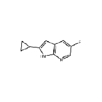 Fc1cnc2[nH]c(C3CC3)cc2c1